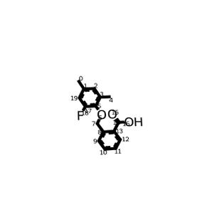 Cc1cc(C)c(OCc2ccccc2C(=O)O)c(F)c1